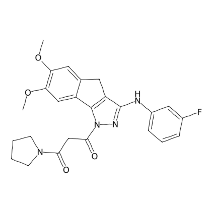 COc1cc2c(cc1OC)-c1c(c(Nc3cccc(F)c3)nn1C(=O)CC(=O)N1CCCC1)C2